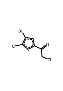 O=C(CCl)c1cc(Br)c(Cl)s1